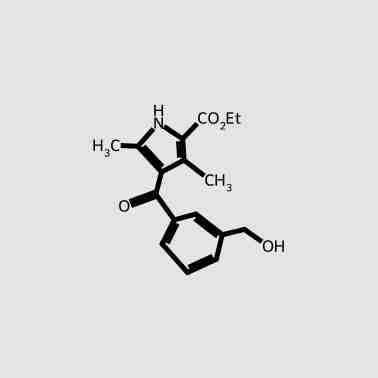 CCOC(=O)c1[nH]c(C)c(C(=O)c2cccc(CO)c2)c1C